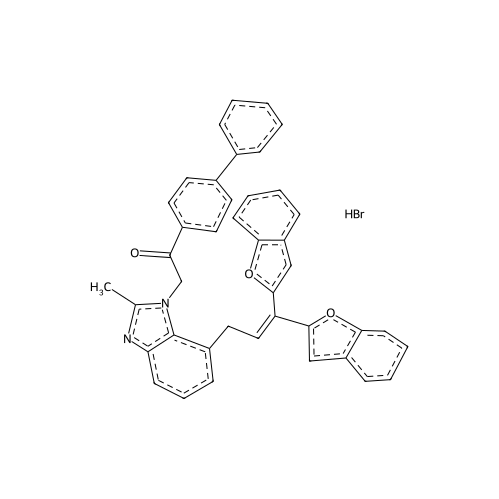 Br.Cc1nc2cccc(CC=C(c3cc4ccccc4o3)c3cc4ccccc4o3)c2n1CC(=O)c1ccc(-c2ccccc2)cc1